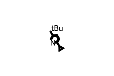 CC(C)(C)Cc1ccc(C2CC2)nc1